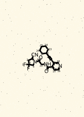 N#CC1CC(F)(F)CN1C(=O)CNC(=O)c1ccncc1C#CC1CCCCC1